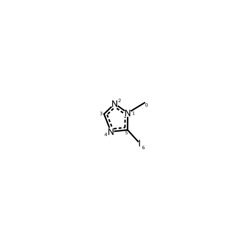 Cn1ncnc1I